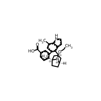 CCO[C@H]1C[C@H]2CC[C@@](c3ccc(C(=O)O)cc3)(C1)N2Cc1c(C)cc(C)c2[nH]ccc12